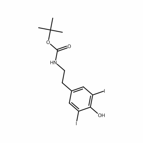 CC(C)(C)OC(=O)NCCc1cc(I)c(O)c(I)c1